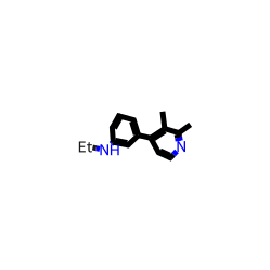 CCNc1cccc(-c2ccnc(C)c2C)c1